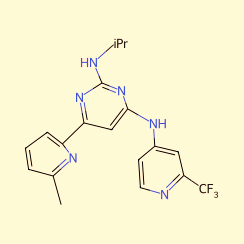 Cc1cccc(-c2cc(Nc3ccnc(C(F)(F)F)c3)nc(NC(C)C)n2)n1